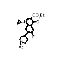 CCOC(=O)c1cn(C2CC2)c2cc(C3=CCN(C(C)=O)CC3)c(F)cc2c1=O